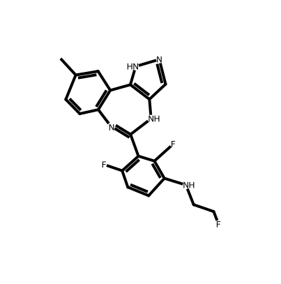 Cc1ccc2c(c1)-c1[nH]ncc1NC(c1c(F)ccc(NCCF)c1F)=N2